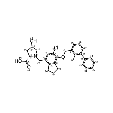 Cc1c(COc2c(Cl)cc(CN3C[C@H](O)C[C@H]3C(=O)O)c3c2CCC3)cccc1-c1ccccc1